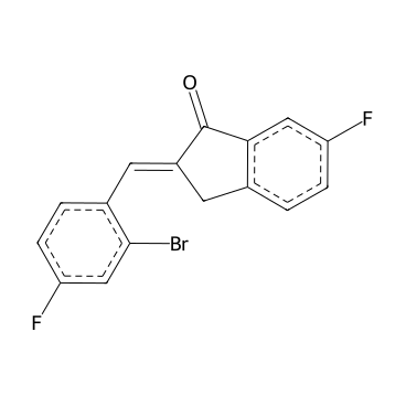 O=C1/C(=C/c2ccc(F)cc2Br)Cc2ccc(F)cc21